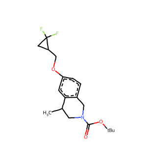 CC1CN(C(=O)OC(C)(C)C)Cc2ccc(OCC3CC3(F)F)cc21